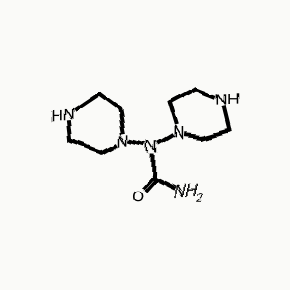 NC(=O)N(N1CCNCC1)N1CCNCC1